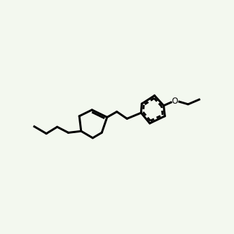 CCCCC1CC=C(CCc2ccc(OCC)cc2)CC1